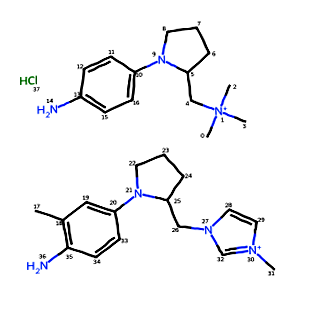 C[N+](C)(C)CC1CCCN1c1ccc(N)cc1.Cc1cc(N2CCCC2Cn2cc[n+](C)c2)ccc1N.Cl